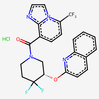 Cl.O=C(c1ccc(C(F)(F)F)n2ccnc12)N1CCC(F)(F)[C@@H](Oc2ccc3ccccc3n2)C1